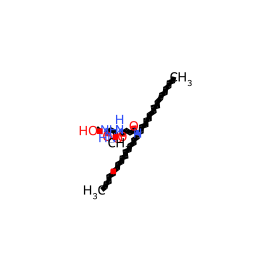 CCCCCCCCCCCCCCCCCCN(CCCCCCCCCCCCCCCCCC)C(=O)CCC(=O)NC(CC(=O)NCCO)C(=O)NC